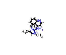 Cc1c[n+](C)c(N)n1C.c1ccc2ncccc2c1